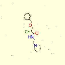 O=C(NCCN1CCCCC1)C(Cl)COCc1ccccc1